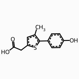 Cc1cc(CC(=O)O)sc1-c1ccc(O)cc1